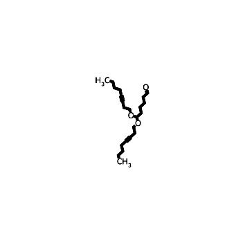 CCCCC#CCCOC(CCCCC=O)OCCC#CCCCC